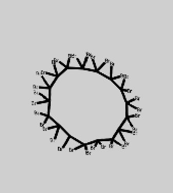 Br[C]1C(Br)(Br)C(Br)(Br)C(Br)(Br)C(Br)(Br)C(Br)(Br)C(Br)(Br)C(Br)(Br)C(Br)(Br)C(Br)(Br)C(Br)(Br)C(Br)(Br)C(Br)(Br)C(Br)(Br)C(Br)(Br)C(Br)(Br)C1(Br)Br